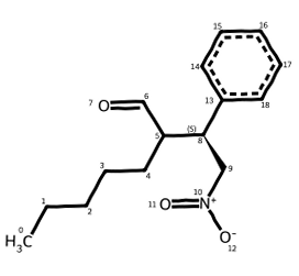 CCCCCC(C=O)[C@H](C[N+](=O)[O-])c1ccccc1